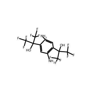 Nc1cc(C(O)(C(F)(F)F)C(F)(F)F)c(N)cc1C(O)(C(F)(F)F)C(F)(F)F